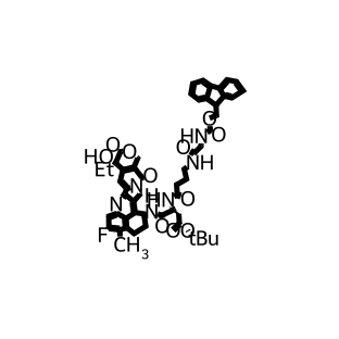 CC[C@@]1(O)C(=O)OCc2c1cc1n(c2=O)Cc2c-1nc1cc(F)c(C)c3c1c2[C@@H](NC(=O)[C@H](CC(=O)OC(C)(C)C)NC(=O)CCCNC(=O)CNC(=O)OCC1c2ccccc2-c2ccccc21)CC3